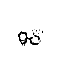 O=C(O)N1[C]=NC=CC1C12CCCC(CC1)N2